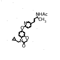 CC(=O)N[C@@H](C)/C=C/c1ccc(Oc2ccc3c(c2)OCC(=O)N3CC2CC2)nc1